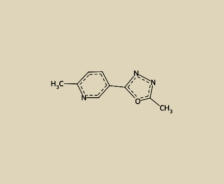 Cc1ccc(-c2nnc(C)o2)cn1